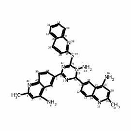 Cc1cc(N)c2cc(C3=NC(c4ccc5nc(C)cc(N)c5c4)N(N)C(Sc4ccc5ccccc5n4)=N3)ccc2n1